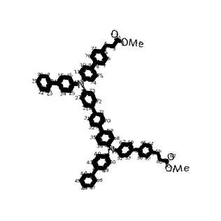 COC(=O)CCc1ccc(-c2ccc(N(c3ccc(-c4ccccc4)cc3)c3ccc(-c4ccc(-c5ccc(N(c6ccc(-c7ccccc7)cc6)c6ccc(-c7ccc(CCC(=O)OC)cc7)cc6)cc5)cc4)cc3)cc2)cc1